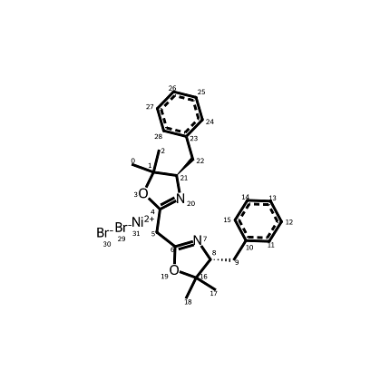 CC1(C)OC(CC2=N[C@H](Cc3ccccc3)C(C)(C)O2)=N[C@@H]1Cc1ccccc1.[Br-].[Br-].[Ni+2]